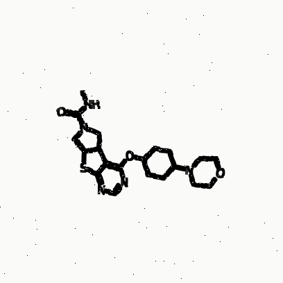 CNC(=O)N1CC2Sc3ncnc(OC4CCC(N5CCOCC5)CC4)c3C2C1